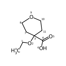 CCOC1(C(=O)O)CCOCC1